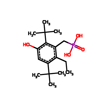 CCc1c(C(C)(C)C)cc(O)c(C(C)(C)C)c1CP(=O)(O)O